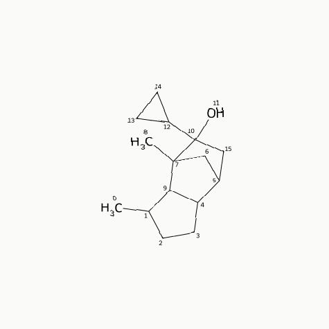 CC1CCC2C3CC(C)(C12)C(O)(C1CC1)C3